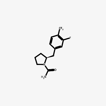 NC(=O)N1CCC[C@H]1[CH]c1ccc(C(F)(F)F)c(F)c1